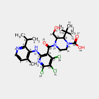 Cc1ccnc(C(C)C)c1Nc1nc(Cl)c(Cl)c(Cl)c1C(=O)N1CCN(C(=O)O)C(C(C)(C)C)C1CO